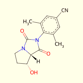 Cc1cc(C#N)cc(C)c1N1C(=O)[C@@H]2[C@H](O)CCN2C1=O